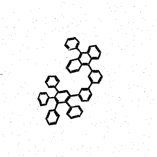 c1ccc(-c2cc(-c3cccc(-c4cccc(-c5c6ccccc6c(-c6ccccn6)c6ccccc56)c4)c3)c(-c3ccccc3)c(-c3ccccc3)c2-c2ccccc2)cc1